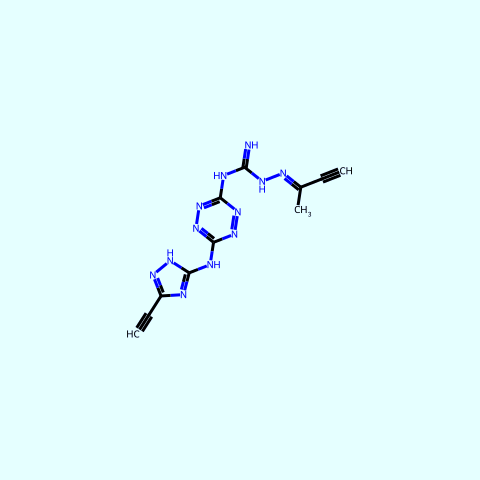 C#C/C(C)=N/NC(=N)Nc1nnc(Nc2nc(C#C)n[nH]2)nn1